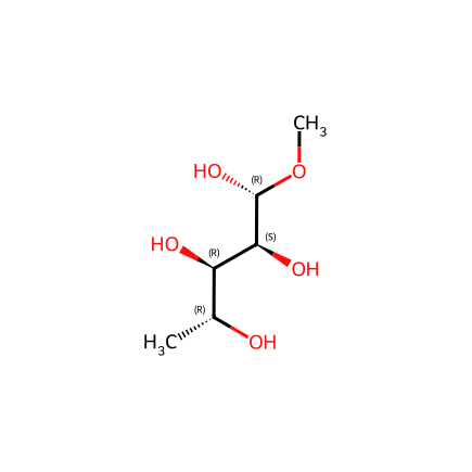 CO[C@@H](O)[C@@H](O)[C@H](O)[C@@H](C)O